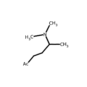 CC(=O)CCC(C)N(C)C